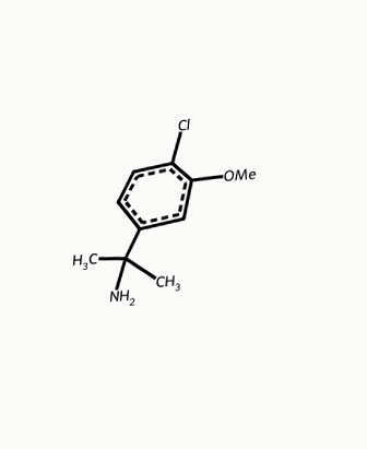 COc1cc(C(C)(C)N)ccc1Cl